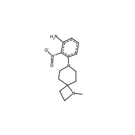 CN1CCC12CCN(c1cccc(N)c1[N+](=O)[O-])CC2